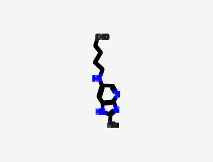 CCCCc1nc2ncc(NCCCCC=O)cc2[nH]1